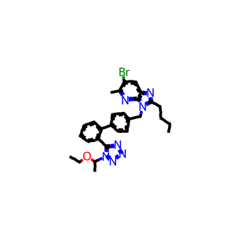 CCCCc1nc2cc(Br)c(C)nc2n1Cc1ccc(-c2ccccc2-c2nnnn2C(C)OCC)cc1